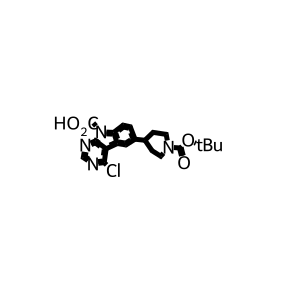 CC(C)(C)OC(=O)N1CCC(c2ccc3c(c2)c2c(Cl)ncnc2n3C(=O)O)CC1